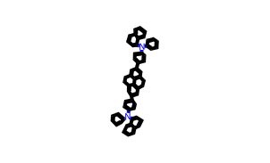 c1ccc(N(c2ccc(-c3cc4c5c(c3)CCc3cc(-c6ccc(N(c7ccccc7)c7cccc8ccccc78)cc6)cc(c3-5)CC4)cc2)c2cccc3ccccc23)cc1